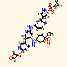 CC1(O)CCC(Nc2cc(Nc3ccnc(-c4cnn(S(=O)(=O)C5CC5)c4)n3)ncc2-c2cnc(OC3COC3)cn2)CC1